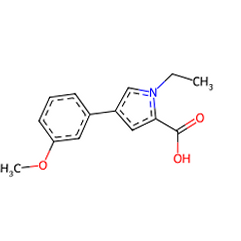 CCn1cc(-c2cccc(OC)c2)cc1C(=O)O